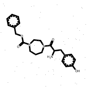 NC(Cc1ccc(O)cc1)C(=O)N1CCCN(C(=O)OCc2ccccc2)CC1